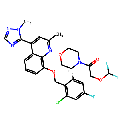 Cc1cc(-c2ncnn2C)c2cccc(OCc3c(Cl)cc(F)cc3[C@@H]3COCCN3C(=O)COC(F)F)c2n1